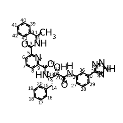 C[C@@H](NC(=O)c1cccc(C(=O)N[C@@H](Cc2ccccc2)[C@H](O)C(=O)Nc2cccc(-c3nn[nH]n3)c2)n1)c1ccccc1